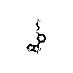 BrCCOc1cccc(-c2onc3sccc23)c1